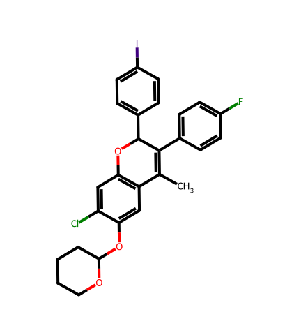 CC1=C(c2ccc(F)cc2)C(c2ccc(I)cc2)Oc2cc(Cl)c(OC3CCCCO3)cc21